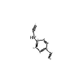 C#CNc1ccc(C=C)cc1